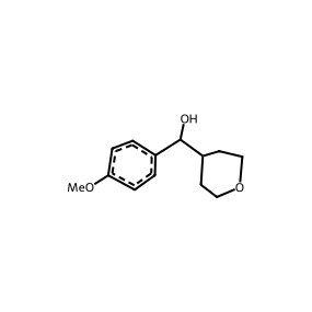 COc1ccc(C(O)C2CCOCC2)cc1